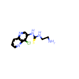 NCCNC(=S)Nc1cnc2cccnc2c1Cl